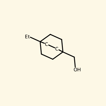 CCC12CCC(CO)(CC1)CC2